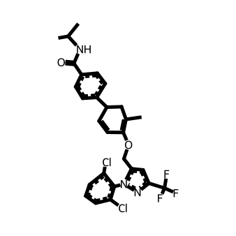 CC1=C(OCc2cc(C(F)(F)F)nn2-c2c(Cl)cccc2Cl)C=CC(c2ccc(C(=O)NC(C)C)cc2)C1